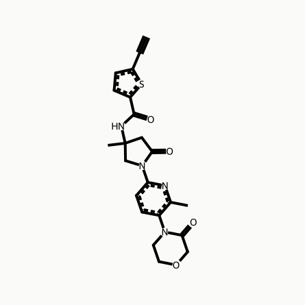 C#Cc1ccc(C(=O)NC2(C)CC(=O)N(c3ccc(N4CCOCC4=O)c(C)n3)C2)s1